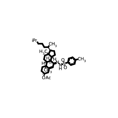 CC(=O)O[C@H]1CC[C@@]2(C)C(=CC(=NNS(=O)(=O)c3ccc(C)cc3)[C@H]3[C@@H]4CC[C@H](C(C)CCCC(C)C)[C@@]4(C)CC[C@@H]32)C1